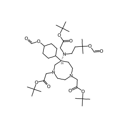 CC(C)(C)OC(=O)CN1CCN(CC(=O)OC(C)(C)C)C[C@](C2CCC(OC=O)CC2)(N(CCC(C)(C)OC=O)CC(=O)OC(C)(C)C)CC1